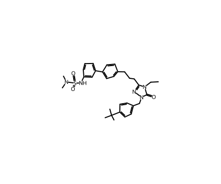 CCn1c(CCCc2ccc(-c3cccc(NS(=O)(=O)N(C)C)c3)cc2)nn(Cc2ccc(C(C)(C)C)cc2)c1=O